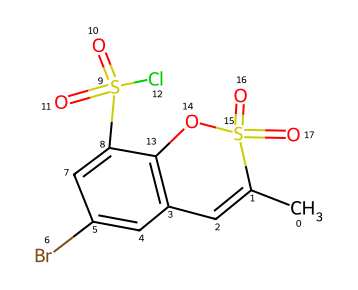 CC1=Cc2cc(Br)cc(S(=O)(=O)Cl)c2OS1(=O)=O